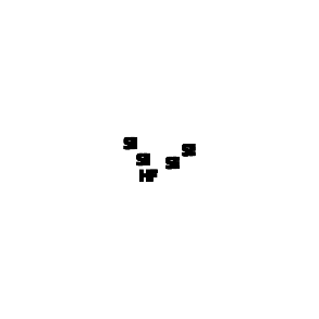 F.[Si].[Si].[Si].[Si]